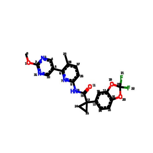 COc1ncc(-c2nc(NC(=O)C3(c4ccc5c(c4)OC(F)(F)O5)CC3)ccc2C)cn1